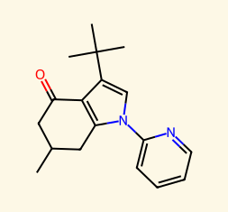 CC1CC(=O)c2c(C(C)(C)C)cn(-c3ccccn3)c2C1